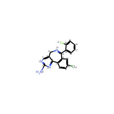 Nc1ncc2c(n1)-c1ccc(Cl)cc1C(c1ccccc1F)=NC2